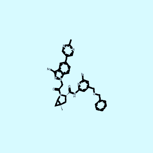 CC(=O)c1nn(CC(=O)N2C3C[C@]3(C)C[C@H]2C(=O)Nc2cc(COCc3ccccc3)cc(Br)n2)c2ccc(-c3cnc(C)nc3)cc12